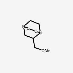 COCC1CN2CCN1CC2